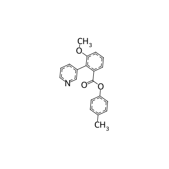 COc1cccc(C(=O)Oc2ccc(C)cc2)c1-c1cccnc1